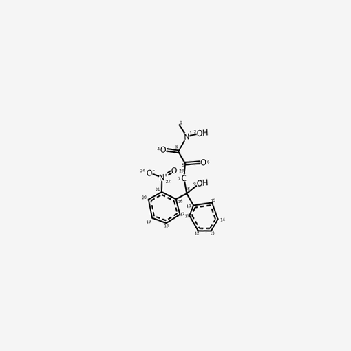 CN(O)C(=O)C(=O)CC(O)(c1ccccc1)c1ccccc1[N+](=O)[O-]